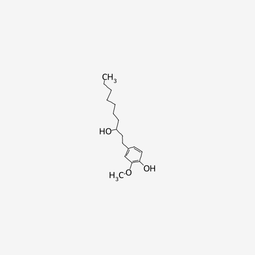 CCCCCCCC(O)CCc1ccc(O)c(OC)c1